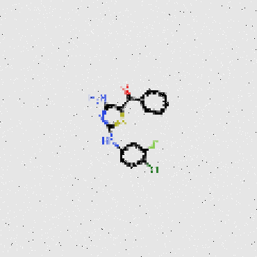 Nc1nc(Nc2ccc(Cl)c(F)c2)sc1C(=O)c1ccccc1